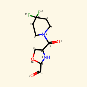 O=CC1NC(C(=O)N2CCC(F)(F)CC2)CO1